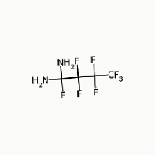 NC(N)(F)C(F)(F)C(F)(F)C(F)(F)F